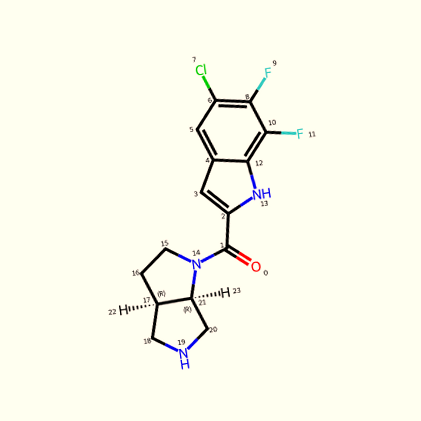 O=C(c1cc2cc(Cl)c(F)c(F)c2[nH]1)N1CC[C@@H]2CNC[C@@H]21